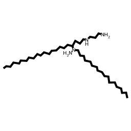 CCCCCCCCCCCCCCCCCCC(CCCNCCCN)N(N)CCCCCCCCCCCCCCCCCC